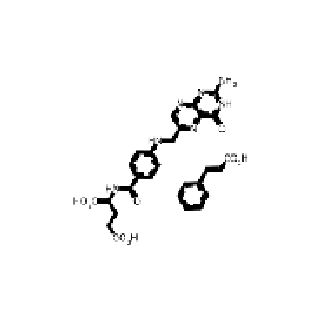 Nc1nc2ncc(CNc3ccc(C(=O)NC(CCC(=O)O)C(=O)O)cc3)nc2c(=O)[nH]1.O=C(O)C=Cc1ccccc1